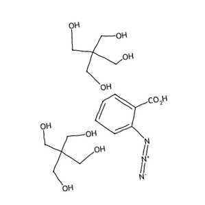 OCC(CO)(CO)CO.OCC(CO)(CO)CO.[N-]=[N+]=Nc1ccccc1C(=O)O